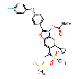 CNC(=O)Oc1c(-c2ccc(Oc3ccc(F)cc3)cc2)oc2cc(N(CC[S+](C)[O-])S(C)(=O)=O)c(C3CC3)cc12